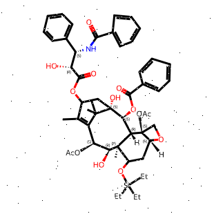 CC[Si](CC)(CC)OC1C[C@H]2OC[C@@]2(OC(C)=O)[C@H]2[C@H](OC(=O)c3ccccc3)[C@]3(O)CC(OC(=O)[C@H](O)[C@@H](NC(=O)c4ccccc4)c4ccccc4)C(C)=C([C@H](OC(C)=O)[C@H](O)[C@]12C)C3(C)C